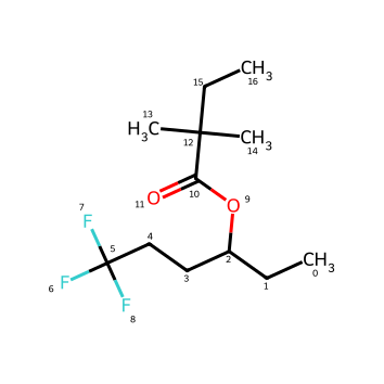 CCC(CCC(F)(F)F)OC(=O)C(C)(C)CC